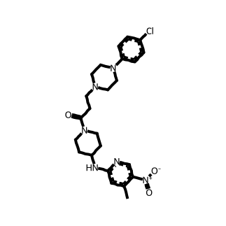 Cc1cc(NC2CCN(C(=O)CCN3CCN(c4ccc(Cl)cc4)CC3)CC2)ncc1[N+](=O)[O-]